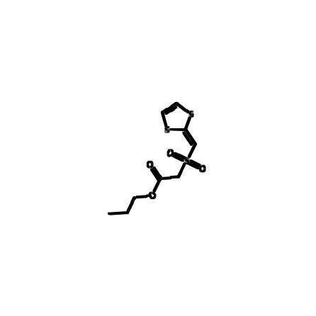 CCCOC(=O)CS(=O)(=O)C=C1SC=CS1